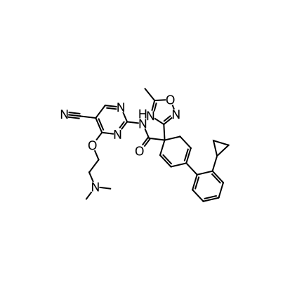 Cc1nc(C2(C(=O)Nc3ncc(C#N)c(OCCN(C)C)n3)C=CC(c3ccccc3C3CC3)=CC2)no1